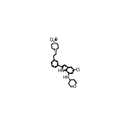 O=S1(=O)CCN(CCc2cccc(-c3cc4cc(Cl)cc(NC5CCOCC5)c4[nH]3)c2)CC1